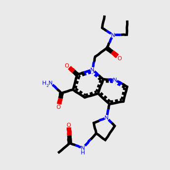 CCN(CC)C(=O)Cn1c(=O)c(C(N)=O)cc2c(N3CCC(NC(C)=O)C3)ccnc21